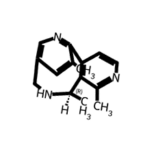 Cc1cc2cnc1-c1ccnc(C)c1[C@@H](C)NC2